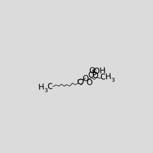 CCCCCCCCCCc1ccc(OC(=O)C(CCCC)OS(=O)(=O)O)cc1